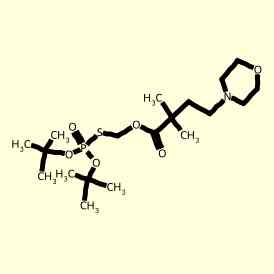 CC(C)(C)OP(=O)(OC(C)(C)C)SCOC(=O)C(C)(C)CCN1CCOCC1